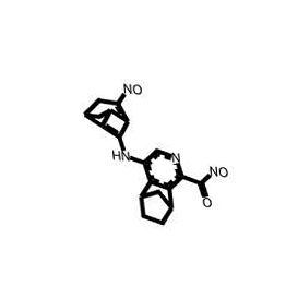 O=NC(=O)c1ncc(NC2=C3C4CC(N=O)=C2C3C4)c2c1C1CCC2C1